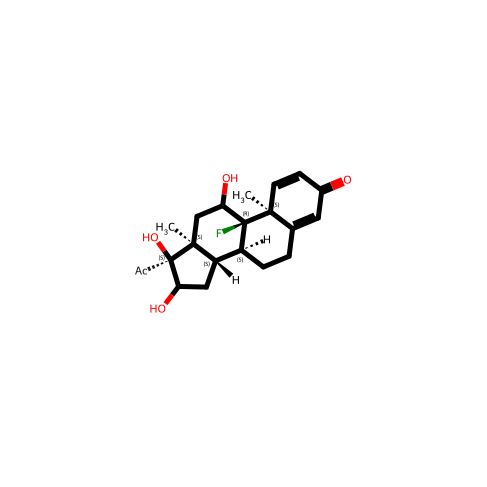 CC(=O)[C@@]1(O)C(O)C[C@H]2[C@@H]3CCC4=CC(=O)C=C[C@]4(C)[C@@]3(F)C(O)C[C@@]21C